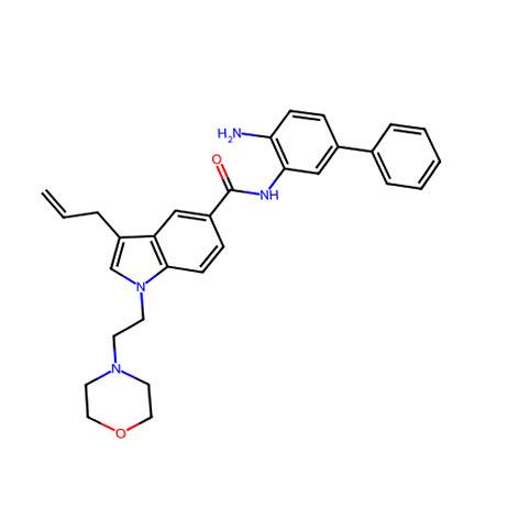 C=CCc1cn(CCN2CCOCC2)c2ccc(C(=O)Nc3cc(-c4ccccc4)ccc3N)cc12